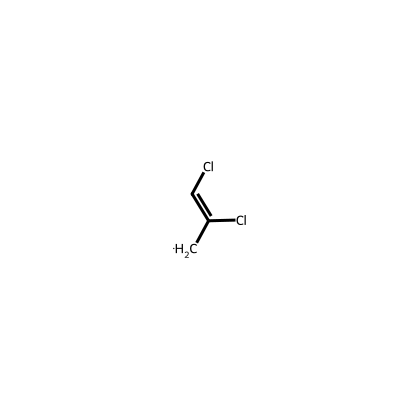 [CH2]/C(Cl)=C/Cl